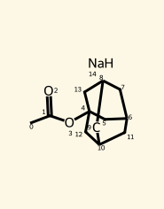 CC(=O)OC12CC3CC(CC(C3)C1)C2.[NaH]